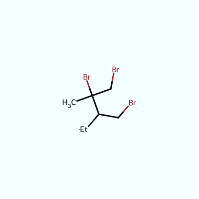 C[CH]C(CBr)C(C)(Br)CBr